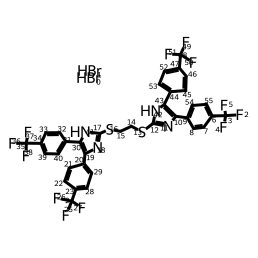 Br.Br.FC(F)(F)c1ccc(-c2nc(SCCSc3nc(-c4ccc(C(F)(F)F)cc4)c(-c4ccc(C(F)(F)F)cc4)[nH]3)[nH]c2-c2ccc(C(F)(F)F)cc2)cc1